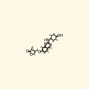 CN1C(=O)OCC1COc1ccc2cnc(NC3CCC(O)CC3)nc2c1